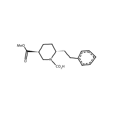 COC(=O)[C@H]1CC[C@H](CCc2ccccc2)N(C(=O)O)C1